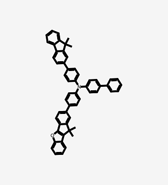 CC1(C)c2ccccc2-c2ccc(-c3ccc(N(c4ccc(-c5ccccc5)cc4)c4ccc(-c5ccc6c(c5)C(C)(C)c5c-6oc6ccccc56)cc4)cc3)cc21